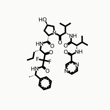 CCC[C@H](NC(=O)[C@@H]1C[C@@H](O)CN1C(=O)[C@@H](NC(=O)[C@@H](NC(=O)c1cnccn1)C(C)C)C(C)C)C(=O)C(F)(F)C(=O)N[C@@H](C)c1ccccc1